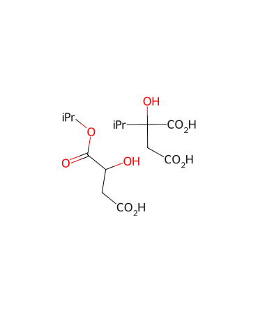 CC(C)C(O)(CC(=O)O)C(=O)O.CC(C)OC(=O)C(O)CC(=O)O